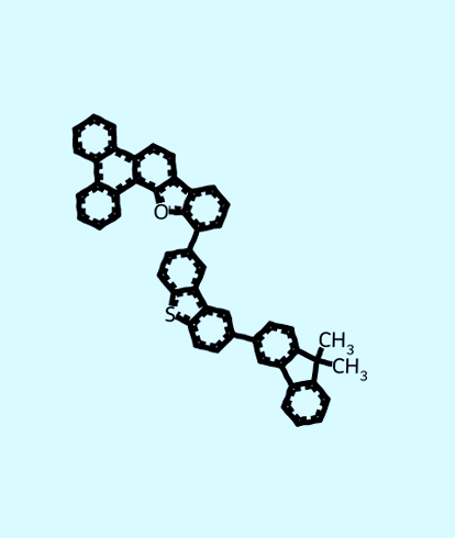 CC1(C)c2ccccc2-c2cc(-c3ccc4sc5ccc(-c6cccc7c6oc6c7ccc7c8ccccc8c8ccccc8c76)cc5c4c3)ccc21